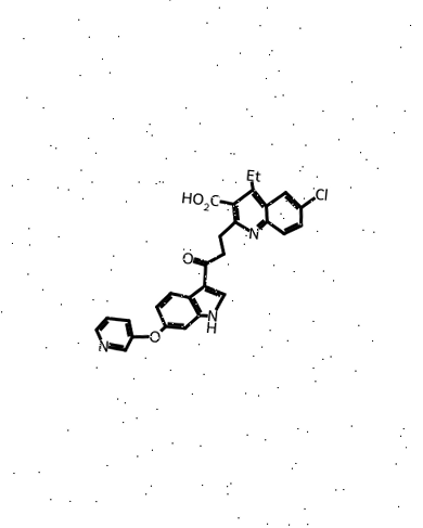 CCc1c(C(=O)O)c(CCC(=O)c2c[nH]c3cc(Oc4cccnc4)ccc23)nc2ccc(Cl)cc12